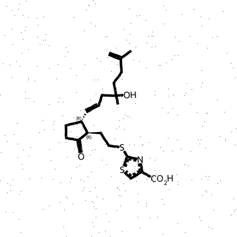 C=C(C)CCC(C)(O)CC=C[C@H]1CCC(=O)[C@@H]1CCSc1nc(C(=O)O)cs1